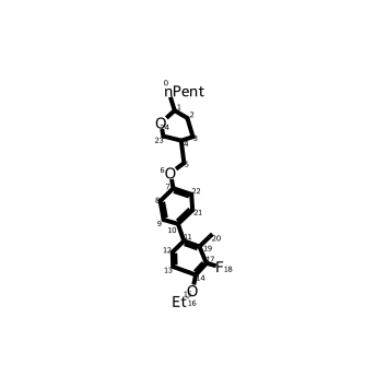 CCCCCC1CCC(COc2ccc(-c3ccc(OCC)c(F)c3C)cc2)CO1